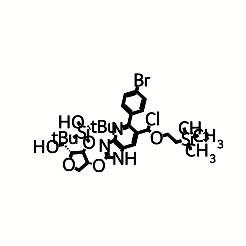 CC(C)(C)[Si](O)(O[C@@H]1[C@@H](CO)OC[C@H]1Oc1nc2nc(-c3ccc(Br)cc3)c(C(Cl)OCC[Si](C)(C)C)cc2[nH]1)C(C)(C)C